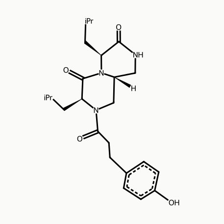 CC(C)C[C@H]1C(=O)N2[C@H](CNC(=O)[C@@H]2CC(C)C)CN1C(=O)CCc1ccc(O)cc1